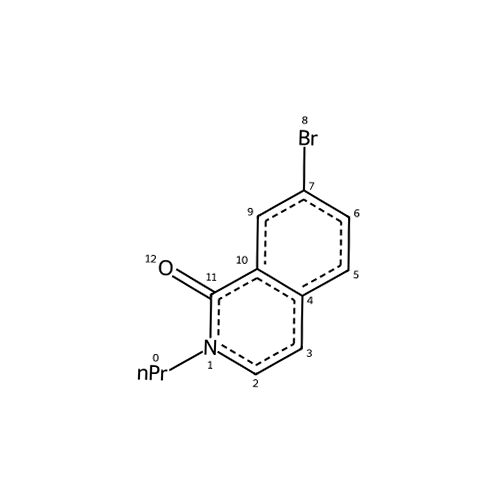 CCCn1ccc2ccc(Br)cc2c1=O